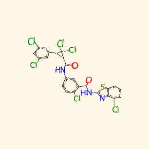 O=C(Nc1nc2c(Cl)cccc2s1)c1cc(NC(=O)C2C(c3cc(Cl)cc(Cl)c3)C2(Cl)Cl)ccc1Cl